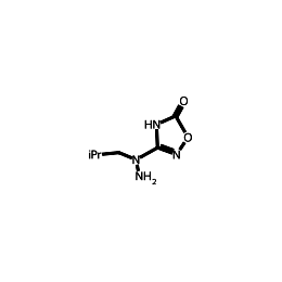 CC(C)CN(N)c1noc(=O)[nH]1